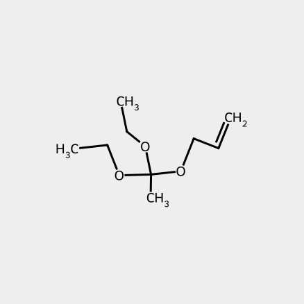 C=CCOC(C)(OCC)OCC